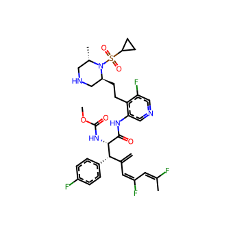 C=C(/C=C(F)\C=C(/C)F)[C@H](c1ccc(F)cc1)[C@H](NC(=O)OC)C(=O)Nc1cncc(F)c1CC[C@H]1CNC[C@H](C)N1S(=O)(=O)C1CC1